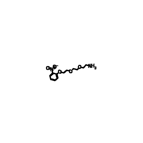 NCCOCCOCCOc1ccccc1[N+](=O)[O-]